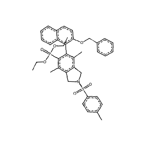 CCOP(=O)(OCC)c1c(C)c2c(c(C)c1-c1c(OCc3ccccc3)ccc3ccccc13)CN(S(=O)(=O)c1ccc(C)cc1)C2